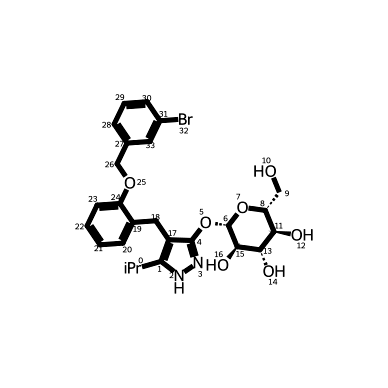 CC(C)c1[nH]nc(O[C@@H]2O[C@H](CO)[C@@H](O)[C@H](O)[C@H]2O)c1Cc1ccccc1OCc1cccc(Br)c1